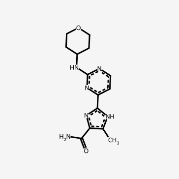 Cc1[nH]c(-c2ccnc(NC3CCOCC3)n2)nc1C(N)=O